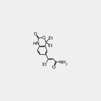 CCC(=CC(N)=O)c1ccc2c(c1)C(CC)(CC)OC(=O)N2